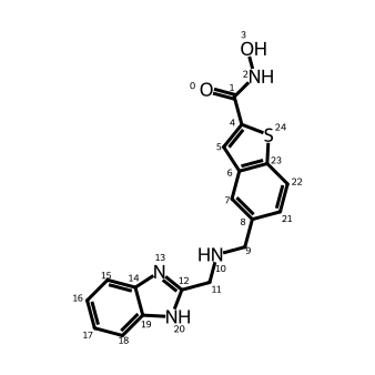 O=C(NO)c1cc2cc(CNCc3nc4ccccc4[nH]3)ccc2s1